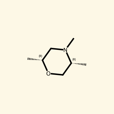 C[C@@H]1CN(C)[C@H](C)CO1